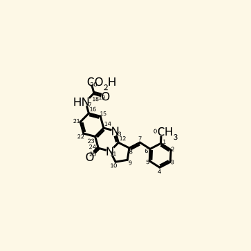 Cc1ccccc1C=C1CCn2c1nc1cc(NC(=O)C(=O)O)ccc1c2=O